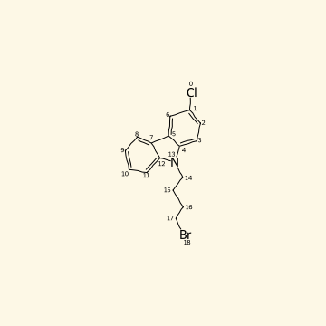 Clc1ccc2c(c1)c1ccccc1n2CCCCBr